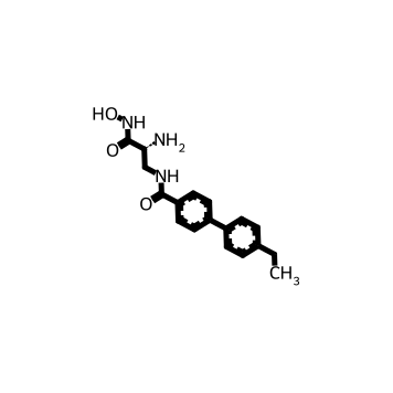 CCc1ccc(-c2ccc(C(=O)NC[C@@H](N)C(=O)NO)cc2)cc1